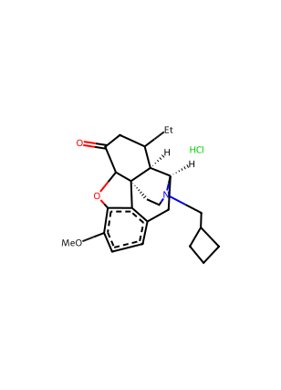 CCC1CC(=O)C2Oc3c(OC)ccc4c3[C@@]23CCN(CC2CCC2)[C@H](C4)[C@H]13.Cl